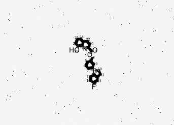 O=C(OCc1cccc(B2CCc3cc(F)ccc32)c1)c1ccc2cccc(O)c2n1